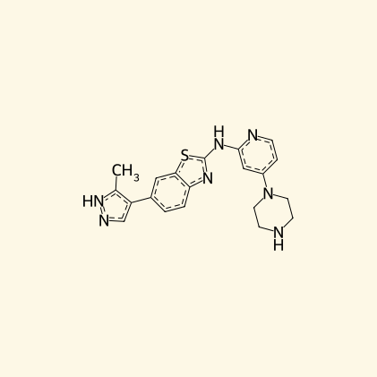 Cc1[nH]ncc1-c1ccc2nc(Nc3cc(N4CCNCC4)ccn3)sc2c1